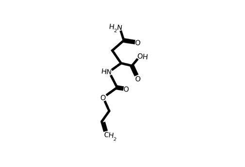 C=CCOC(=O)NC(CC(N)=O)C(=O)O